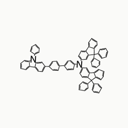 c1ccc(-n2c3ccccc3c3ccc(-c4ccc(-c5ccc(N(c6ccc7c(c6)-c6ccccc6C7(c6ccccc6)c6ccccc6)c6ccc7c(c6)C(c6ccccc6)(c6ccccc6)c6ccccc6-7)cc5)cc4)cc32)cc1